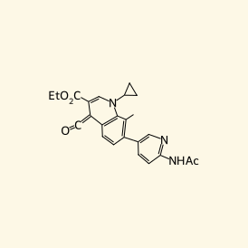 CCOC(=O)C1=CN(C2CC2)c2c(ccc(-c3ccc(NC(C)=O)nc3)c2C)C1=C=O